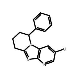 Clc1cnc2nc3n(c2c1)C(c1ccccc1)CCC3